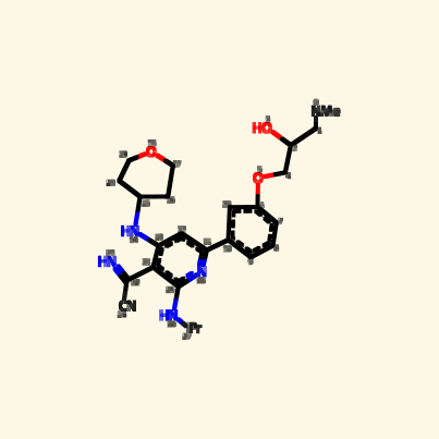 CNCC(O)COc1cccc(-c2cc(NC3CCOCC3)c(C(=N)C#N)c(NC(C)C)n2)c1